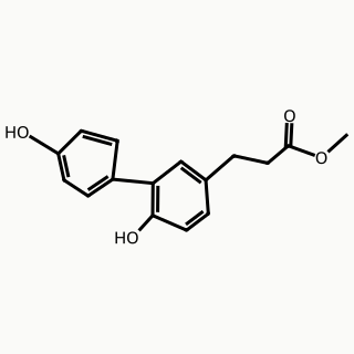 COC(=O)CCc1ccc(O)c(-c2ccc(O)cc2)c1